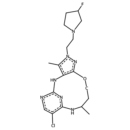 Cc1c2c(nn1CCN1CCC(F)C1)OCCC(C)Nc1nc(ncc1Cl)N2